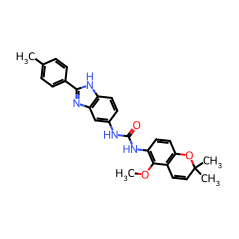 COc1c(NC(=O)Nc2ccc3[nH]c(-c4ccc(C)cc4)nc3c2)ccc2c1C=CC(C)(C)O2